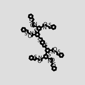 c1ccc2sc(-c3nc(-c4cc(-c5coc(-c6cc7ccccc7s6)n5)c5sc6c(-c7coc(-c8cc9ccccc9s8)n7)cc(-c7cc8cc9sc(-c%10cc(-c%11coc(-c%12cc%13ccccc%13s%12)n%11)c%11sc%12c(-c%13coc(-c%14cc%15ccccc%15s%14)n%13)cc(-c%13coc(-c%14cc%15ccccc%15s%14)n%13)cc%12c%11c%10)cc9cc8s7)cc6c5c4)co3)cc2c1